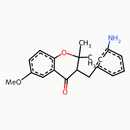 COc1ccc2c(c1)C(=O)C(Cc1cccc(N)c1)C(C)(C)O2